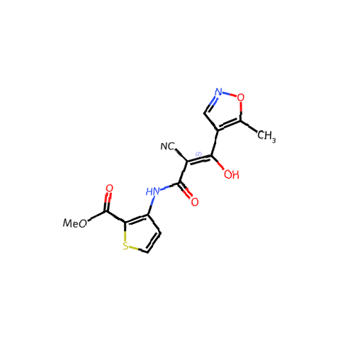 COC(=O)c1sccc1NC(=O)/C(C#N)=C(\O)c1cnoc1C